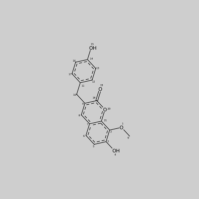 COc1c(O)ccc2cc(Cc3ccc(O)cc3)c(=O)oc12